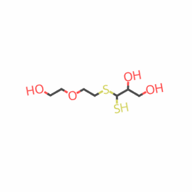 OCCOCCSC(S)C(O)CO